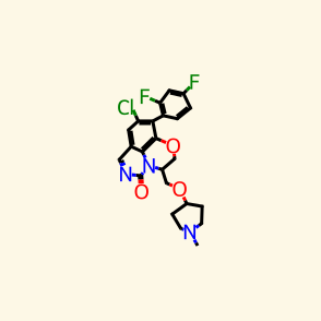 CN1CCC(OCC2COc3c(-c4ccc(F)cc4F)c(Cl)cc4cnc(=O)n2c34)CC1